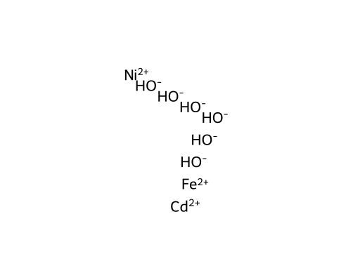 [Cd+2].[Fe+2].[Ni+2].[OH-].[OH-].[OH-].[OH-].[OH-].[OH-]